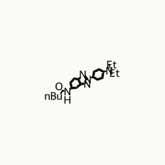 CCCCC(=O)Nc1ccc2nn(-c3ccc(N(CC)CC)cc3)nc2c1